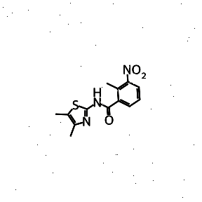 Cc1nc(NC(=O)c2cccc([N+](=O)[O-])c2C)sc1C